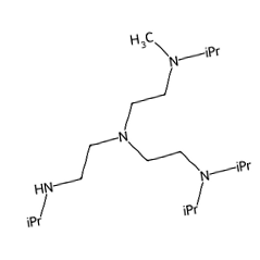 CC(C)NCCN(CCN(C)C(C)C)CCN(C(C)C)C(C)C